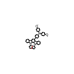 COc1ccc(N(c2ccc(OC)cc2)c2ccc(-c3cc4c5ccccc5n(-c5cccs5)c4c4c3c3ccccc3n4-c3cccs3)cc2)cc1